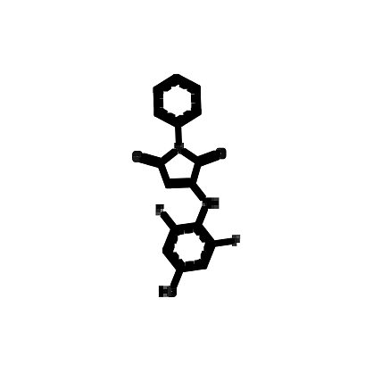 O=C1C=C(Nc2c(F)cc(O)cc2F)C(=O)N1c1ccccc1